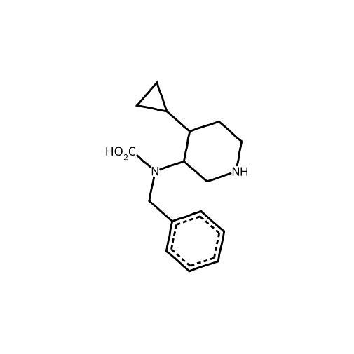 O=C(O)N(Cc1ccccc1)C1CNCCC1C1CC1